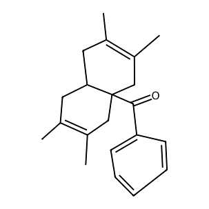 CC1=C(C)CC2(C(=O)c3ccccc3)CC(C)=C(C)CC2C1